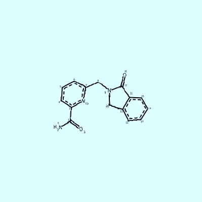 NC(=O)c1cccc(CN2Cc3ccccc3C2=O)n1